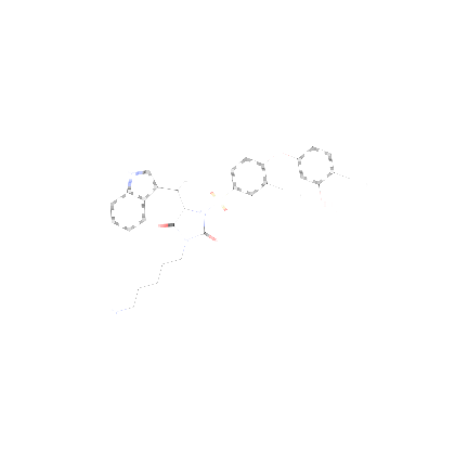 Bc1cc(Oc2ccc(S(=O)(=O)N3C(=O)N(CCCCCN)C(=O)C3C(C)c3c[nH]c4ccccc34)cc2C)ccc1C